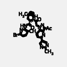 CC(=O)c1nn(CC(=O)N2[C@H](C(=O)Nc3nc(Br)ccc3C)C[C@@]3(C)C#C[C@@H]23)c2ccc(-c3cnc(C)nc3)nc12